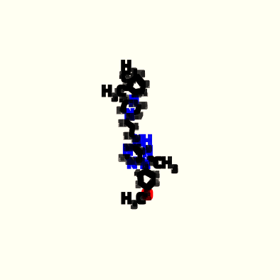 COc1ccc(-n2c(C)nc3c(NCCCN4CCN(c5cccc(C)c5C)CC4)ncnc32)cc1